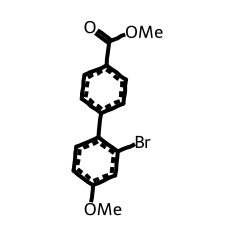 COC(=O)c1ccc(-c2ccc(OC)cc2Br)cc1